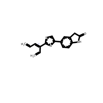 C=C/C=C(\C=C)c1nc(-c2ccc3c(c2)CC(=O)N3)cs1